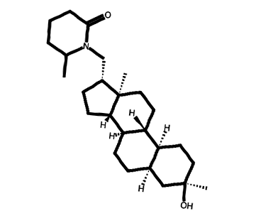 CC1CCCC(=O)N1C[C@H]1CC[C@H]2[C@@H]3CC[C@@H]4C[C@](C)(O)CC[C@@H]4[C@H]3CC[C@]12C